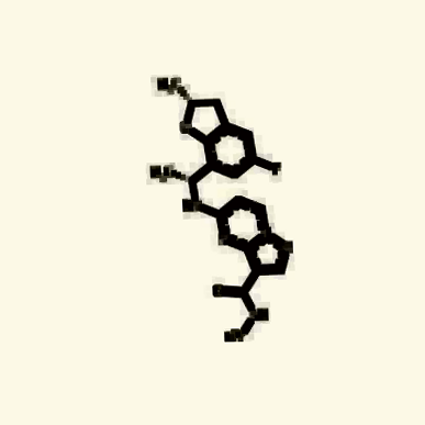 CCCNC(=O)c1cnn2ccc(N[C@H](C)c3cc(F)cc4c3O[C@H](C)C4)nc12